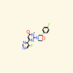 Cn1c(N2CCO[C@@H](c3ccc(F)cc3)C2)nc(-c2ncncc2F)cc1=O